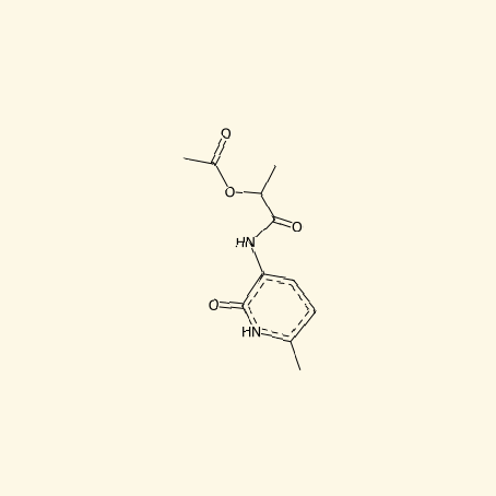 CC(=O)OC(C)C(=O)Nc1ccc(C)[nH]c1=O